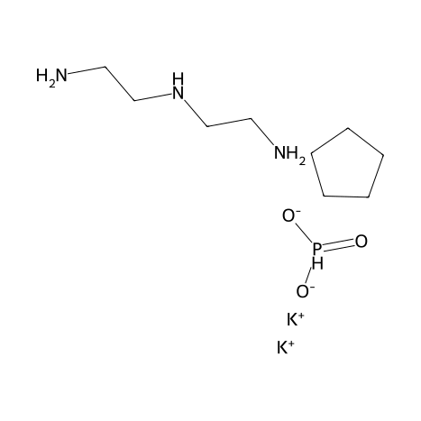 C1CCCC1.NCCNCCN.O=[PH]([O-])[O-].[K+].[K+]